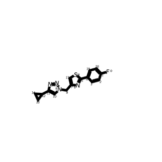 Fc1ccc(-c2nc(Cn3cc(C4CC4)nn3)cs2)cc1